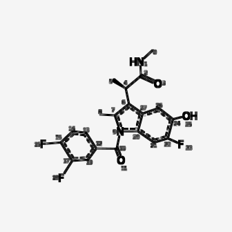 CNC(=O)[C@H](C)c1c(C)n(C(=O)c2ccc(F)c(F)c2)c2cc(F)c(O)cc12